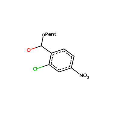 CCCCCC([O])c1ccc([N+](=O)[O-])cc1Cl